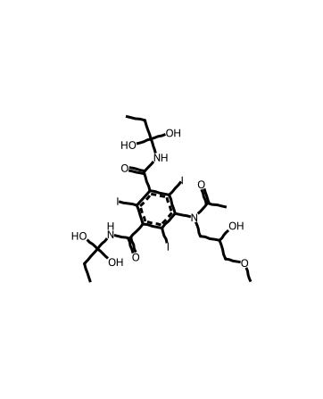 CCC(O)(O)NC(=O)c1c(I)c(C(=O)NC(O)(O)CC)c(I)c(N(CC(O)COC)C(C)=O)c1I